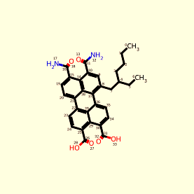 CCCCC(CC)Cc1cc(C(N)=O)c2c(C(N)=O)ccc3c4ccc(C(=O)O)c5c(C(=O)O)ccc(c1c23)c54